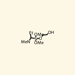 CCC(NC)[Si](OC)(OC)OCCO